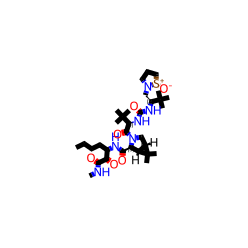 CCCCC(NC(=O)[C@@H]1[C@@H]2[C@H](CN1C(=O)[C@@H](NC(=O)N[C@H](CN1CCC[S+]1[O-])C(C)(C)C)C(C)(C)C)C2(C)C)C(=O)C(=O)NC